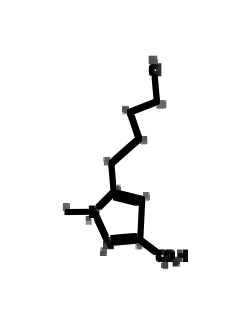 Cn1nc(C(=O)O)cc1CCCCCl